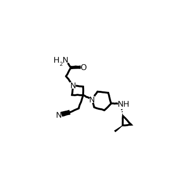 C[C@@H]1C[C@H]1NC1CCN(C2(CC#N)CN(CC(N)=O)C2)CC1